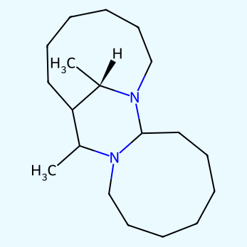 CC1C2CCCCCCN(C3CCCCCCCN13)[C@H]2C